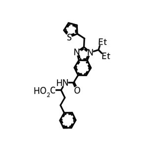 CCC(CC)n1c(Cc2cccs2)nc2cc(C(=O)NC(CCc3ccccc3)C(=O)O)ccc21